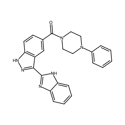 O=C(c1ccc2[nH]nc(-c3nc4ccccc4[nH]3)c2c1)N1CCN(c2ccccc2)CC1